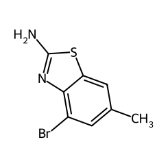 Cc1cc(Br)c2nc(N)sc2c1